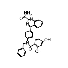 NC(=O)c1nc(-c2ccc(N(Cc3ccccc3)C(=O)c3ccc(O)cc3O)cc2)c2ccccc2n1